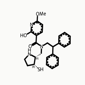 COc1ccc(C(=O)N(CC(c2ccccc2)c2ccccc2)C[C@H]2NCC[C@H]2S)c(O)n1